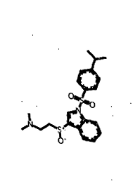 CC(C)c1ccc(S(=O)(=O)n2cc([S+]([O-])CCN(C)C)c3ccccc32)cc1